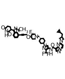 Cn1nc(C2CCC(=O)NC2=O)c2cccc(C#CCO[C@H]3CCN(C[C@H]4CC[C@H](n5cc(NC(=O)c6cnn7ccc(N8CC(CC9CC9)C8)nc67)c(C(F)F)n5)CC4)C[C@H]3F)c21